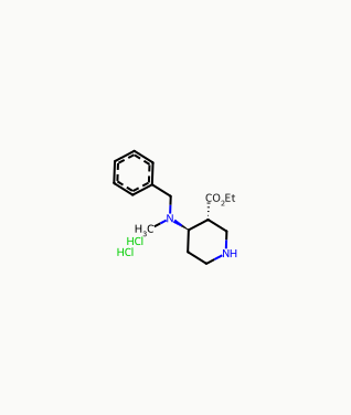 CCOC(=O)[C@@H]1CNCC[C@H]1N(C)Cc1ccccc1.Cl.Cl